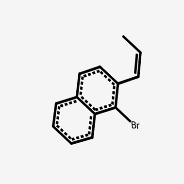 C/C=C\c1ccc2ccccc2c1Br